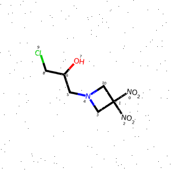 O=[N+]([O-])C1([N+](=O)[O-])CN(CC(O)CCl)C1